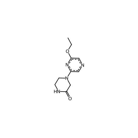 CCOc1cncc(N2CCNC(=O)C2)n1